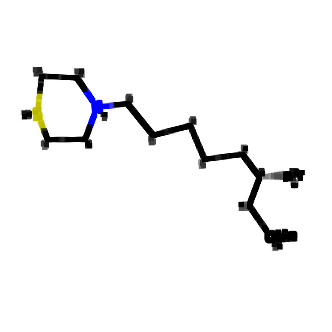 CCC[C@@H](CCCCCN1CCSCC1)COC